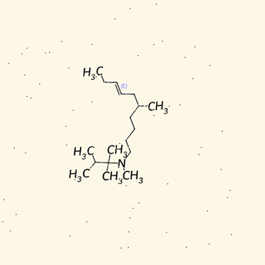 CC/C=C/CC(C)CCCCN(C)C(C)(C)C(C)C